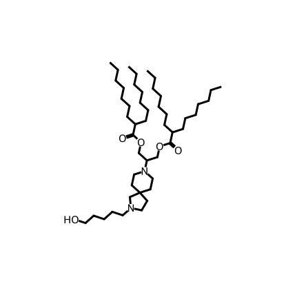 CCCCCCCC(CCCCCCC)C(=O)OCC(COC(=O)C(CCCCCCC)CCCCCCC)N1CCC2(CCN(CCCCCO)C2)CC1